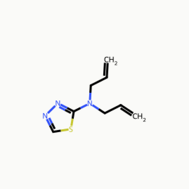 C=CCN(CC=C)c1nncs1